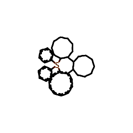 c1ccccc2c(ccc1)C1CCCCCCCC1C1CCCCCCCC1S2(c1ccccc1)c1ccccc1